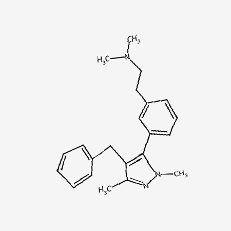 Cc1nn(C)c(-c2cccc(CCN(C)C)c2)c1Cc1ccccc1